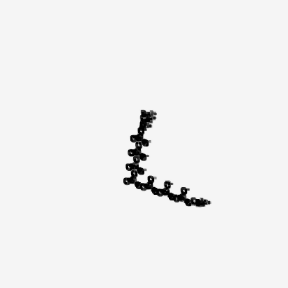 O=[Si]([O-])[O-].O=[Si]([O-])[O-].O=[Si]([O-])[O-].O=[Si]([O-])[O-].O=[Si]([O-])[O-].O=[Si]([O-])[O-].O=[Si]([O-])[O-].[Al+3].[Al+3].[Ba+2].[Ba+2].[Ca+2].[Ca+2]